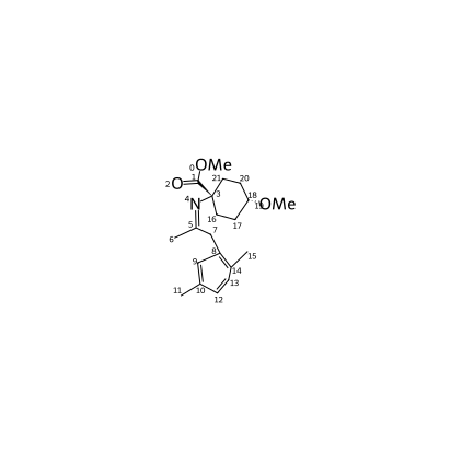 COC(=O)[C@]1(/N=C(/C)Cc2cc(C)ccc2C)CC[C@@H](OC)CC1